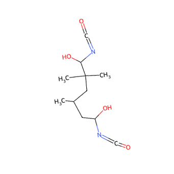 CC(CC(O)N=C=O)CC(C)(C)C(O)N=C=O